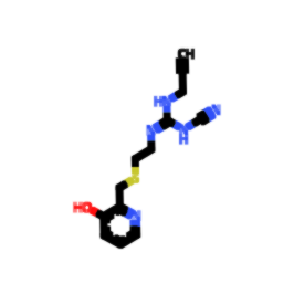 C#CCN/C(=N/CCSCc1ncccc1O)NC#N